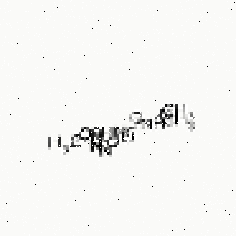 Cc1ccc2c(c1)N(c1ncnc3ccc(NC(=O)/C=C/C(=O)NCCCN(C)C)cc13)CC2